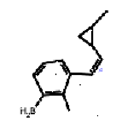 Bc1cccc(/C=C\C2CC2C)c1C